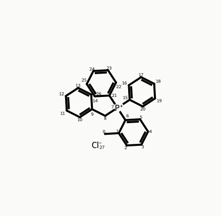 Cc1ccccc1[P+](Cc1ccccc1)(c1ccccc1)c1ccccc1.[Cl-]